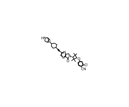 CC1(C)[C@H](Oc2ccc(C#N)c(Cl)c2)C(C)(C)[C@H]1N1Cc2nc(C#CC3CCC(N4CC5CC4CN5)CC3)cnc2C1=O